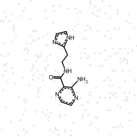 Nc1nccnc1C(=O)NCCc1ncc[nH]1